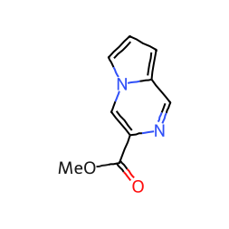 COC(=O)c1cn2cccc2cn1